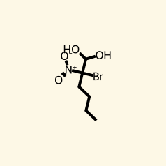 CCCCC(Br)(C(O)O)[N+](=O)[O-]